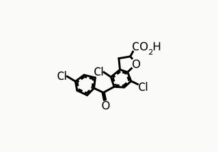 O=C(c1ccc(Cl)cc1)c1cc(Cl)c2c(c1Cl)CC(C(=O)O)O2